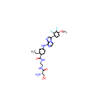 CCc1cc(Nc2nccn3c(-c4ccc(OC)c(F)c4F)cnc23)ccc1C(=O)NCCNC(=O)[C@@H](N)CO